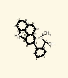 COC(O)c1ccccc1-c1cc2ccc3cccc4[nH]c(c1)c2c34